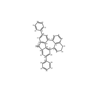 C1=C2c3c(cccc3-c3cc(-c4ccccc4)cc4[nH]c5cc(-c6ccccc6)cc2c5c34)CC1